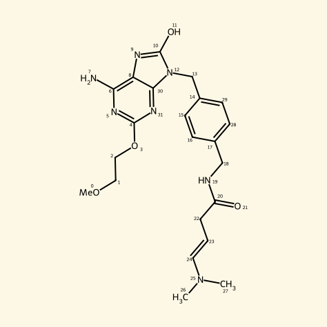 COCCOc1nc(N)c2nc(O)n(Cc3ccc(CNC(=O)C/C=C/N(C)C)cc3)c2n1